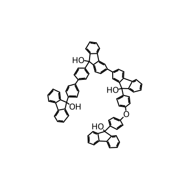 OC1(c2ccc(Oc3ccc(C4(O)c5ccccc5-c5ccc(-c6ccc7c(c6)-c6ccccc6C7(O)c6ccc(-c7ccc(C8(O)c9ccccc9-c9ccccc98)cc7)cc6)cc54)cc3)cc2)c2ccccc2-c2ccccc21